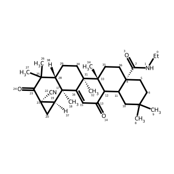 CCNC(=O)[C@]12CCC(C)(C)CC1C1C(=O)C=C3[C@@]4(C)[C@H]5C[C@@]5(C#N)C(=O)C(C)(C)[C@@H]4CC[C@@]3(C)[C@]1(C)CC2